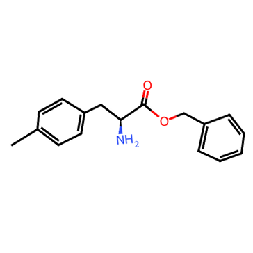 Cc1ccc(C[C@H](N)C(=O)OCc2ccccc2)cc1